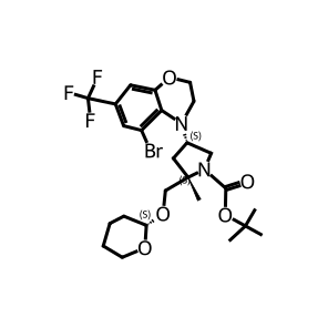 CC(C)(C)OC(=O)N1C[C@@H](N2CCOc3cc(C(F)(F)F)cc(Br)c32)C[C@@]1(C)CO[C@H]1CCCCO1